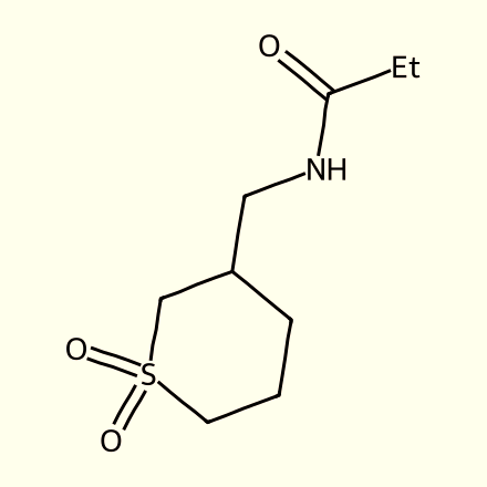 CCC(=O)NCC1CCCS(=O)(=O)C1